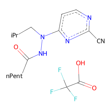 CCCCCC(=O)NN(CC(C)C)c1ccnc(C#N)n1.O=C(O)C(F)(F)F